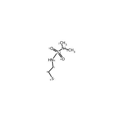 CN(C)S(=O)(=O)NCC[S]